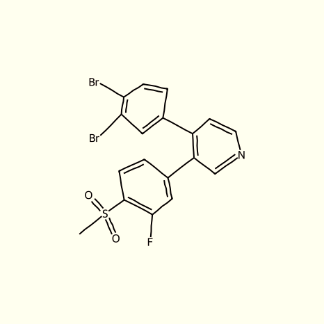 CS(=O)(=O)c1ccc(-c2cnccc2-c2ccc(Br)c(Br)c2)cc1F